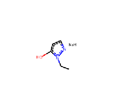 CCn1nccc1O.[NaH]